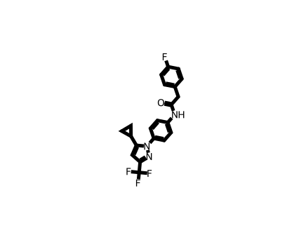 O=C(Cc1ccc(F)cc1)Nc1ccc(-n2nc(C(F)(F)F)cc2C2CC2)cc1